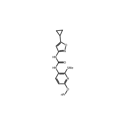 CCCOc1ccc(NC(=O)Nc2cc(C3CC3)on2)c(SC)n1